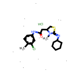 Cc1ccc(NC(=O)CC2CSC(=NC3CCCCC3)N2C)cc1Cl.Cl